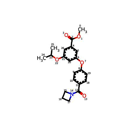 COC(=O)c1cc(Oc2ccc(C(=O)N3CCC3)cc2)cc(OC(C)C)c1